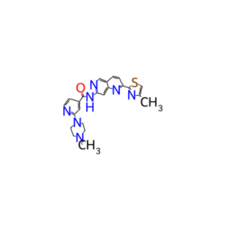 Cc1csc(-c2ccc3cnc(NC(=O)c4ccnc(N5CCN(C)CC5)c4)cc3n2)n1